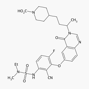 CCN(C)S(=O)(=O)Nc1ccc(F)c(Oc2ccc3ncn(C(C)CCC4CCN(C(=O)O)CC4)c(=O)c3c2)c1C#N